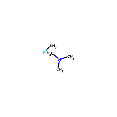 CN(C)C.F[SiH3]